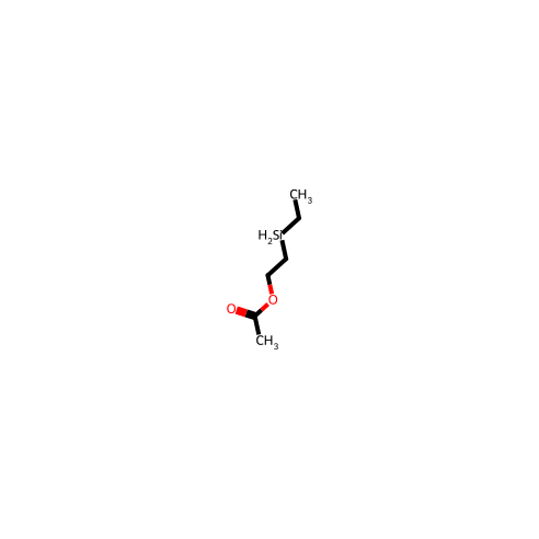 CC[SiH2]CCOC(C)=O